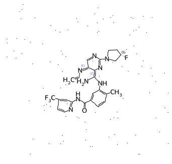 C=C/N=C1/C=NC(N2CC[C@H](F)C2)=N/C1=C(/N)Nc1cc(C(=O)Nc2cc(C(F)(F)F)ccn2)ccc1C